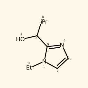 CCn1c[c]nc1C(O)C(C)C